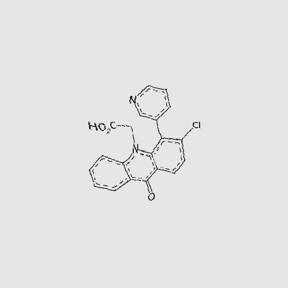 O=C(O)Cn1c2ccccc2c(=O)c2ccc(Cl)c(-c3cccnc3)c21